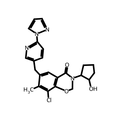 Cc1c(Cc2ccc(-n3cccn3)nc2)cc2c(c1Cl)OCN(C1CCCC1O)C2=O